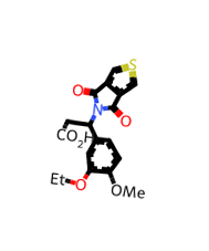 CCOc1cc(C(CC(=O)O)N2C(=O)c3cscc3C2=O)ccc1OC